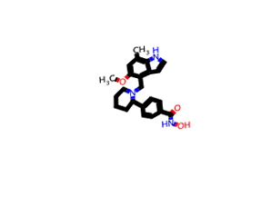 COc1cc(C)c2[nH]ccc2c1CN1CCCCC1c1ccc(C(=O)NO)cc1